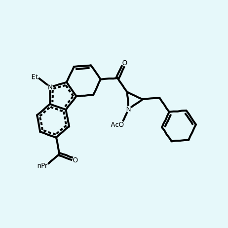 CCCC(=O)c1ccc2c(c1)c1c(n2CC)C=CC(C(=O)C2C(CC3=CCCC=C3)N2OC(C)=O)C1